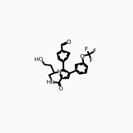 O=Cc1ccc(-c2c(-c3cccc(OC(F)(F)F)c3)cc3n2C(CCO)CNC3=O)cc1